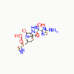 Nc1nc(C(=NO)C(=O)NC2C(=O)N3C(C(=O)O)=C(CSc4nncs4)CS[C@@H]23)ns1